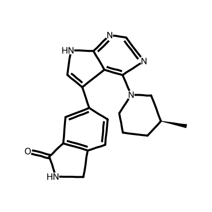 C[C@H]1CCCN(c2ncnc3[nH]cc(-c4ccc5c(c4)C(=O)NC5)c23)C1